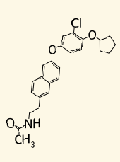 CC(=O)NCCc1ccc2cc(Oc3ccc(OC4CCCC4)c(Cl)c3)ccc2c1